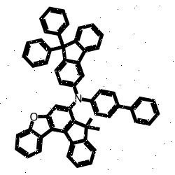 CC1(C)c2ccccc2-c2c1c(N(c1ccc(-c3ccccc3)cc1)c1ccc3c(c1)-c1ccccc1C3(c1ccccc1)c1ccccc1)cc1oc3ccccc3c21